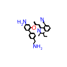 C=C(/C=C(\N=C(\C)C(C)CC)c1ccccc1C#N)Oc1cc(N)ccc1-c1ccc(CCN)cc1